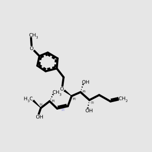 C=CC[C@H](O)[C@@H](O)[C@@H](/C=C\[C@@H](C)[C@H](C)O)OCc1ccc(OC)cc1